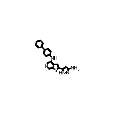 Nc1cc(-c2cc3c(Nc4ccc(-c5ccccc5)cc4)cncc3s2)[nH]n1